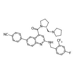 N#Cc1ccc(-c2ccc3nc(NCc4ccc(F)cc4C(F)(F)F)cc(C(=O)N4CCC[C@H]4CN4CCCC4)c3c2)cc1